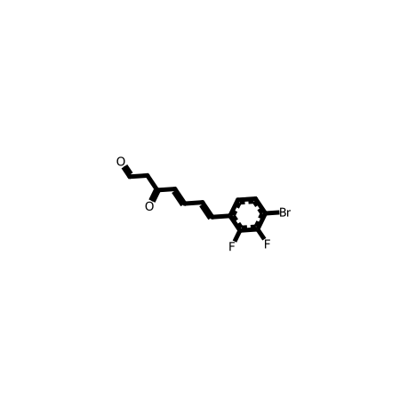 O=CCC(=O)C=CC=Cc1ccc(Br)c(F)c1F